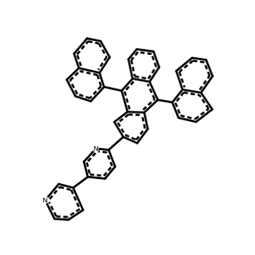 c1cncc(-c2ccc(-c3ccc4c(-c5cccc6ccccc56)c5ccccc5c(-c5cccc6ccccc56)c4c3)nc2)c1